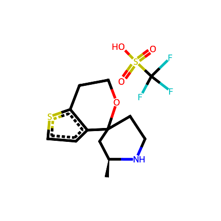 C[C@H]1CC2(CCN1)OCCc1sccc12.O=S(=O)(O)C(F)(F)F